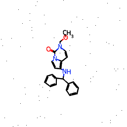 COCn1ccc2c(NC(c3ccccc3)c3ccccc3)ccn2c1=O